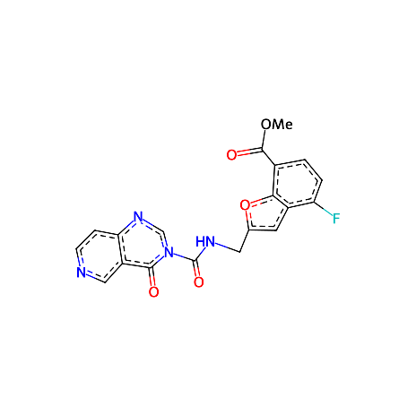 COC(=O)c1ccc(F)c2cc(CNC(=O)n3cnc4ccncc4c3=O)oc12